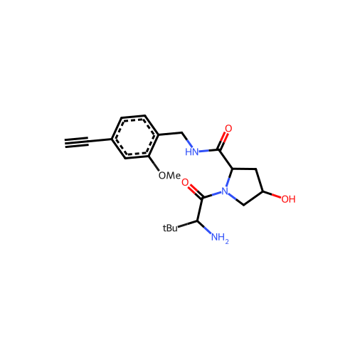 C#Cc1ccc(CNC(=O)C2CC(O)CN2C(=O)C(N)C(C)(C)C)c(OC)c1